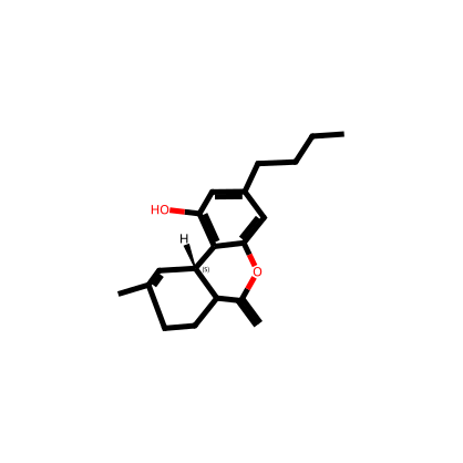 C=C1Oc2cc(CCCC)cc(O)c2[C@H]2C=C(C)CCC12